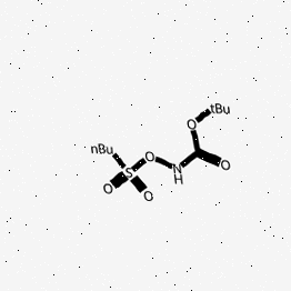 CCCCS(=O)(=O)ONC(=O)OC(C)(C)C